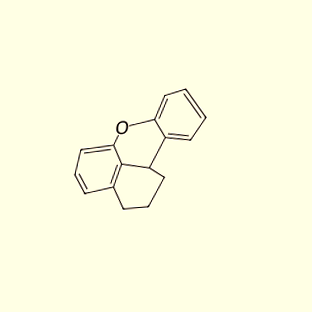 c1ccc2c(c1)Oc1cccc3c1C2CCC3